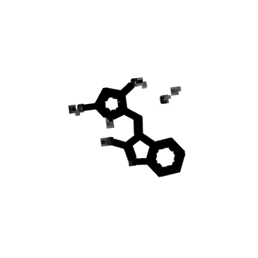 Cc1cc(C)c(/C=C2\C(O)=Nc3ccccc32)[nH]1.[Cl-].[H+]